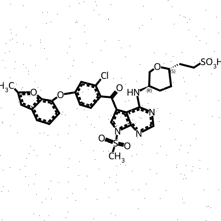 Cc1cc2cccc(Oc3ccc(C(=O)c4cn(S(C)(=O)=O)c5ncnc(N[C@@H]6CC[C@@H](CCS(=O)(=O)O)OC6)c45)c(Cl)c3)c2o1